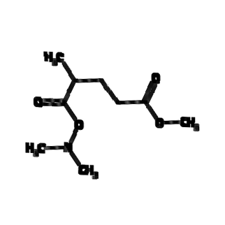 COC(=O)CCC(C)C(=O)ON(C)C